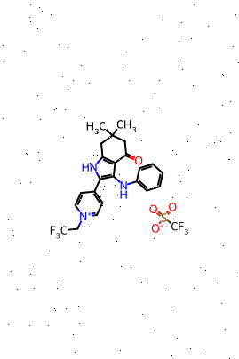 CC1(C)CC(=O)c2c([nH]c(-c3cc[n+](CC(F)(F)F)cc3)c2Nc2ccccc2)C1.O=S(=O)([O-])C(F)(F)F